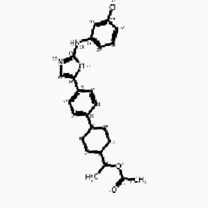 CC(=O)OC(C)C1CCC(c2ccc(-c3cnc(Nc4cccc(Cl)c4)o3)cc2)CC1